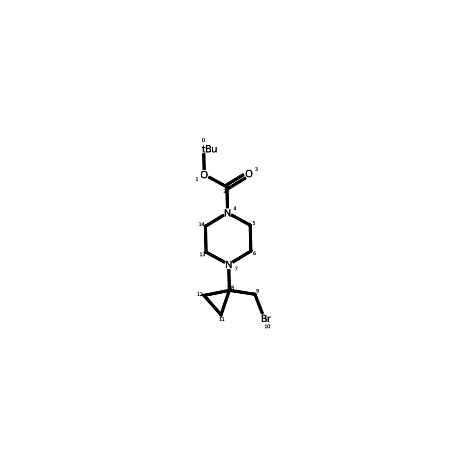 CC(C)(C)OC(=O)N1CCN(C2(CBr)CC2)CC1